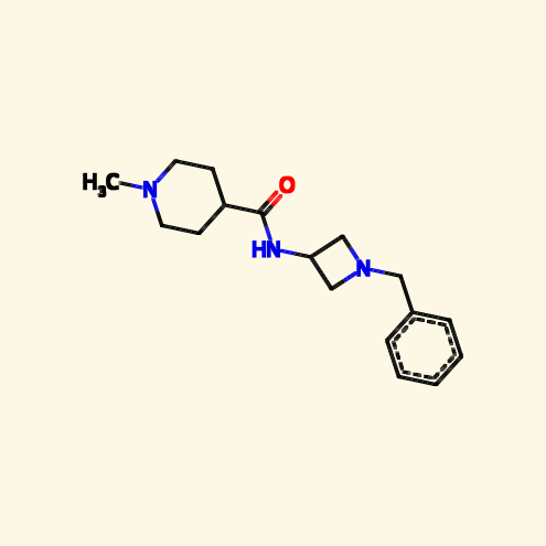 CN1CCC(C(=O)NC2CN(Cc3ccccc3)C2)CC1